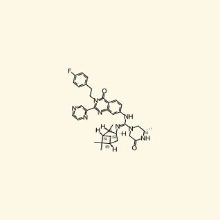 C[C@@H]1[C@@H](N=C(Nc2ccc3c(=O)n(CCc4ccc(F)cc4)c(-c4cnccn4)nc3c2)N2CC(=O)N[C@@H](C)C2)C[C@H]2C[C@@H]1C2(C)C